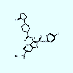 O=C(O)Nc1cnc2c(NC(=O)C3CCC(N4CCCC4=O)CC3)c(C(=O)Nc3ccc(Cl)cn3)oc2c1